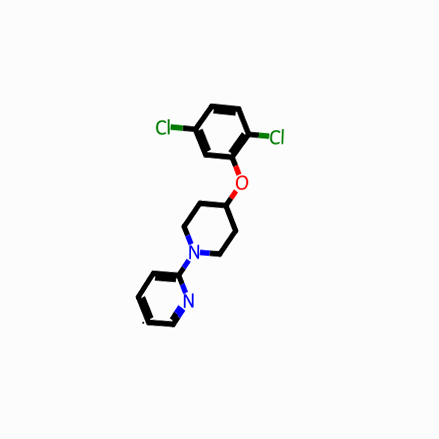 Clc1ccc(Cl)c(OC2CCN(c3cc[c]cn3)CC2)c1